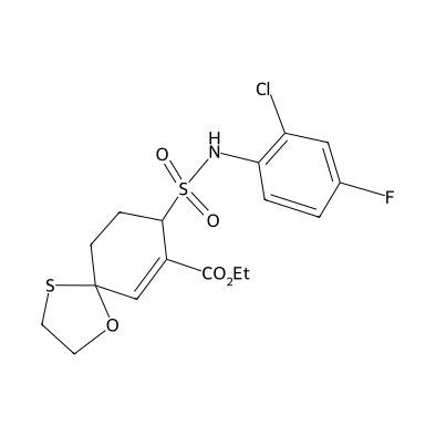 CCOC(=O)C1=CC2(CCC1S(=O)(=O)Nc1ccc(F)cc1Cl)OCCS2